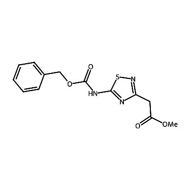 COC(=O)Cc1nsc(NC(=O)OCc2ccccc2)n1